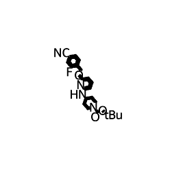 CC(C)(C)OC(=O)N1CCC(Nc2cccc(OCc3ccc(C#N)cc3F)n2)CC1